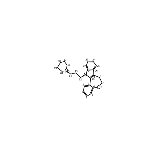 c1ccc2c(c1)OCCc1c-2n(CCCN2CCCCC2)c2ccccc12